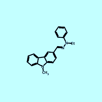 CCN(N=Cc1ccc2c(c1)c1ccccc1n2C)c1ccccc1